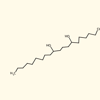 CCCCCCCCCC(O)CCCC(O)CCCCCC